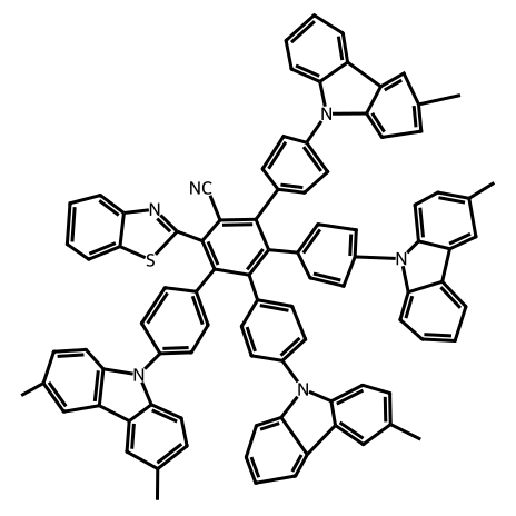 Cc1ccc2c(c1)c1ccccc1n2-c1ccc(-c2c(C#N)c(-c3nc4ccccc4s3)c(-c3ccc(-n4c5ccc(C)cc5c5cc(C)ccc54)cc3)c(-c3ccc(-n4c5ccccc5c5cc(C)ccc54)cc3)c2-c2ccc(-n3c4ccccc4c4cc(C)ccc43)cc2)cc1